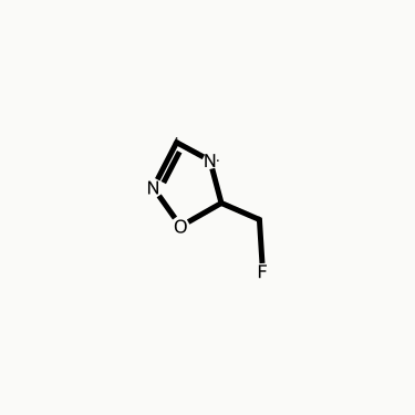 FCC1[N][C]=NO1